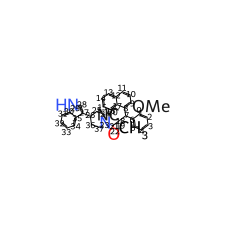 COc1ccccc1C(c1cccc2ccccc12)C(C)(C#N)C(=O)N1CCC(c2c[nH]c3ccccc23)CC1